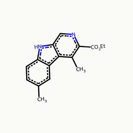 CCOC(=O)c1ncc2[nH]c3ccc(C)cc3c2c1C